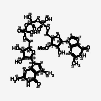 CO[C@@H]1C(O)[C@H](n2cnc3c(=O)[nH]c(C)nc32)O[C@@H]1COP(=O)(O)OP(=O)(O)OP(=O)(O)OC[C@H]1O[C@@H](n2c[n+](C)c3c(=O)[nH]c(N)nc32)C(O)[C@H]1O